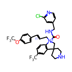 O=C(NCc1ccnc(Cl)c1)[N+]1(C/C=C/c2ccc(OC(F)(F)F)cc2)CC2(CCNCC2)c2cc(C(F)(F)F)ccc21